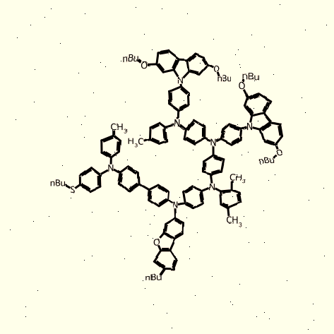 CCCCOc1ccc2c3ccc(OCCCC)cc3n(-c3ccc(N(c4ccc(C)cc4)c4ccc(N(c5ccc(N(c6ccc(N(c7ccc(-c8ccc(N(c9ccc(C)cc9)c9ccc(SCCCC)cc9)cc8)cc7)c7ccc8c(c7)oc7cc(CCCC)ccc78)cc6)c6cc(C)ccc6C)cc5)c5ccc(-n6c7cc(OCCCC)ccc7c7ccc(OCCCC)cc76)cc5)cc4)cc3)c2c1